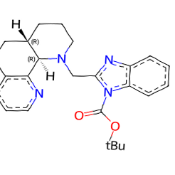 CC(C)(C)OC(=O)n1c(CN2CCC[C@H]3CCc4cccnc4[C@@H]32)nc2ccccc21